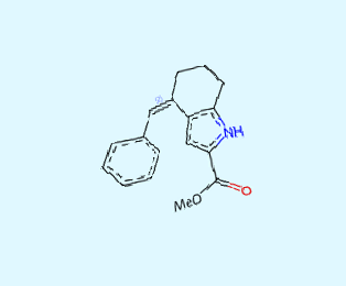 COC(=O)c1cc2c([nH]1)CCC/C2=C/c1ccccc1